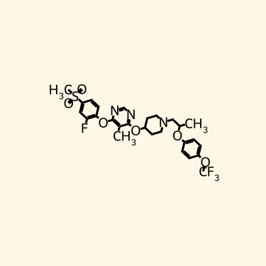 Cc1c(Oc2ccc(S(C)(=O)=O)cc2F)ncnc1OC1CCN(CC(C)Oc2ccc(OC(F)(F)F)cc2)CC1